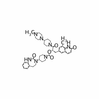 Cc1cc(C[C@@H](OC(=O)N2CCC(N3CCc4ccccc4NC3=O)CC2)C(=O)N2CCC(N3CCN(C)CC3)CC2)cc2ccc(=O)[nH]c12